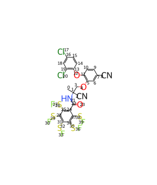 CC(C#N)(COc1cc(C#N)ccc1Oc1ccc(Cl)cc1Cl)NC(=O)c1c(SF)c(SF)c(SF)c(SF)c1SF